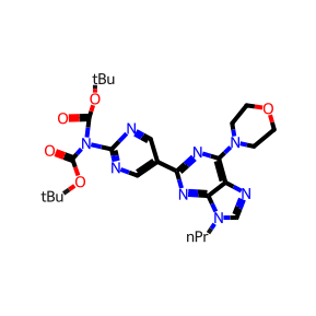 CCCn1cnc2c(N3CCOCC3)nc(-c3cnc(N(C(=O)OC(C)(C)C)C(=O)OC(C)(C)C)nc3)nc21